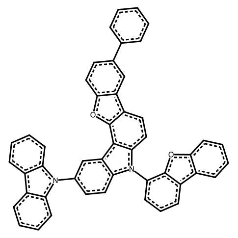 c1ccc(-c2ccc3oc4c(ccc5c4c4cc(-n6c7ccccc7c7ccccc76)ccc4n5-c4cccc5c4oc4ccccc45)c3c2)cc1